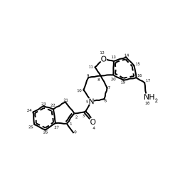 CC1=C(C(=O)N2CCC3(CC2)COc2ccc(CN)cc23)Cc2ccccc21